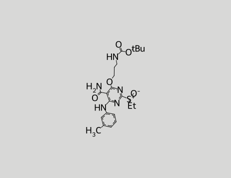 CC[S+]([O-])c1nc(Nc2cccc(C)c2)c(C(N)=O)c(OCCCNC(=O)OC(C)(C)C)n1